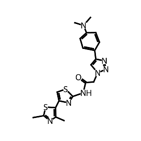 Cc1nc(C)c(-c2csc(NC(=O)Cn3cc(-c4ccc(N(C)C)cc4)nn3)n2)s1